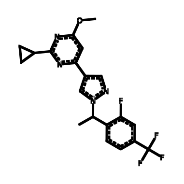 COc1cc(-c2cnn(C(C)c3ccc(C(F)(F)F)cc3F)c2)nc(C2CC2)n1